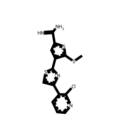 CSc1sc(C(=N)N)cc1-c1nc(-c2cccnc2Cl)cs1